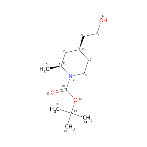 C[C@H]1C[C@@H](CCO)CCN1C(=O)OC(C)(C)C